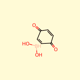 O=C1C=CC(=O)C=C1.OBO